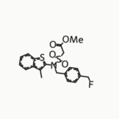 COC(=O)CS(=O)(=O)N(Cc1ccc(CF)cc1)c1sc2ccccc2c1C